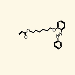 C=CC(=O)OCCCCCCOc1ccccc1N=Nc1ccccc1